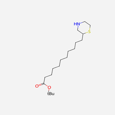 CC(C)(C)OC(=O)CCCCCCCCCCC1CNCCS1